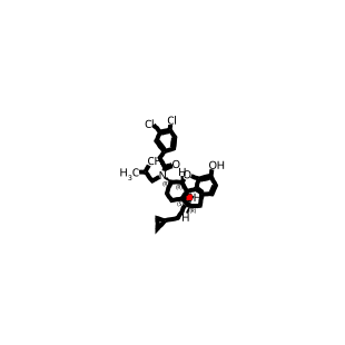 CC(C)CN(C(=O)Cc1ccc(Cl)c(Cl)c1)[C@@H]1CC[C@@]2(O)[C@H]3Cc4ccc(O)c5c4[C@@]2(CCN3CC2CC2)[C@H]1O5